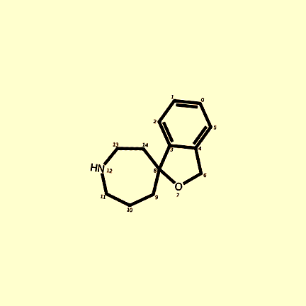 c1ccc2c(c1)COC21CCCNCC1